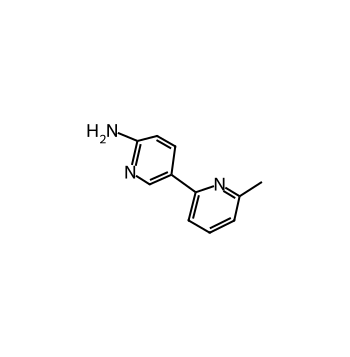 Cc1cccc(-c2ccc(N)nc2)n1